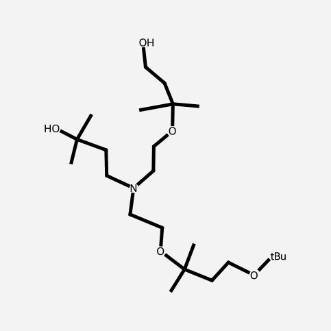 CC(C)(O)CCN(CCOC(C)(C)CCO)CCOC(C)(C)CCOC(C)(C)C